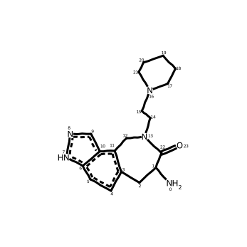 NC1Cc2ccc3[nH]ncc3c2CN(CCN2CCCCC2)C1=O